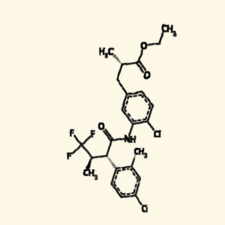 CCOC(=O)[C@@H](C)Cc1ccc(Cl)c(NC(=O)[C@H](c2ccc(Cl)cc2C)[C@@H](C)C(F)(F)F)c1